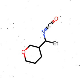 CCC(N=C=O)C1CCCOC1